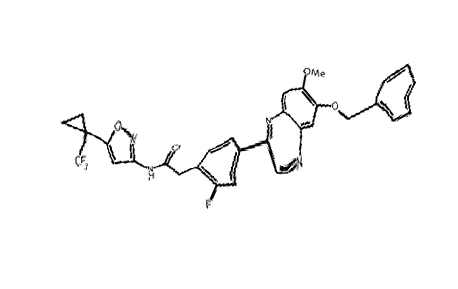 COc1cc2nc(-c3ccc(CC(=O)Nc4cc(C5(C(F)(F)F)CC5)on4)c(F)c3)cnc2cc1OCc1ccccc1